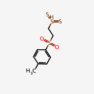 Cc1ccc(S(=O)(=O)CC[SH](=S)=S)cc1